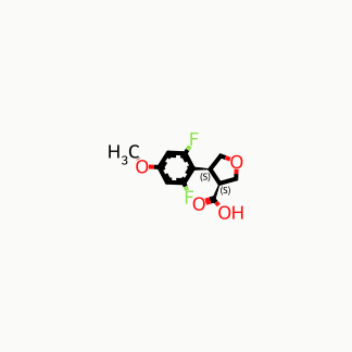 COc1cc(F)c([C@H]2COC[C@H]2C(=O)O)c(F)c1